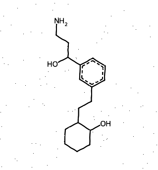 NCCC(O)c1cccc(CCC2CCCCC2O)c1